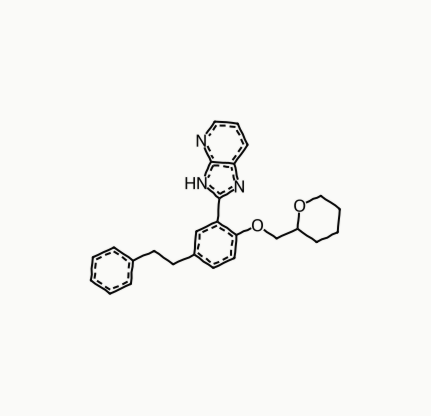 c1ccc(CCc2ccc(OCC3CCCCO3)c(-c3nc4cccnc4[nH]3)c2)cc1